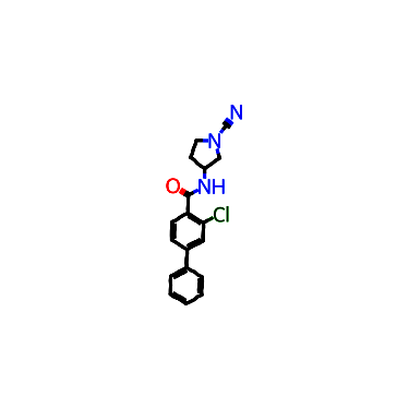 N#CN1CCC(NC(=O)c2ccc(-c3ccccc3)cc2Cl)C1